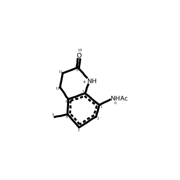 CC(=O)Nc1ccc(C)c2c1NC(=O)CC2